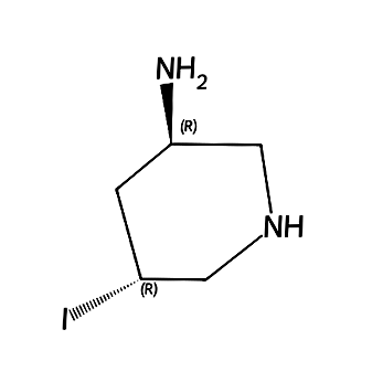 N[C@H]1CNC[C@H](I)C1